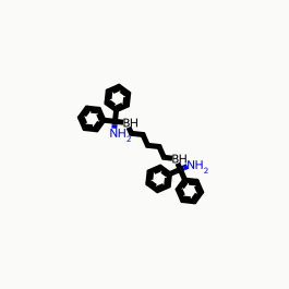 NC(BCCCCCBC(N)(c1ccccc1)c1ccccc1)(c1ccccc1)c1ccccc1